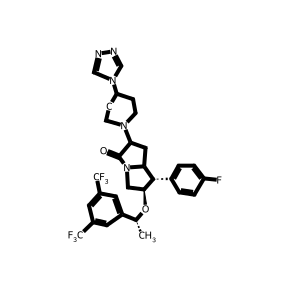 C[C@@H](O[C@H]1CN2C(=O)C(N3CCC(n4cnnc4)CC3)CC2[C@@H]1c1ccc(F)cc1)c1cc(C(F)(F)F)cc(C(F)(F)F)c1